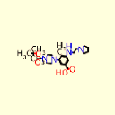 Cc1c(NCCN2CCCC2)cc(C(=O)O)cc1N1CCN(C(=O)OC(C)(C)C)CC1